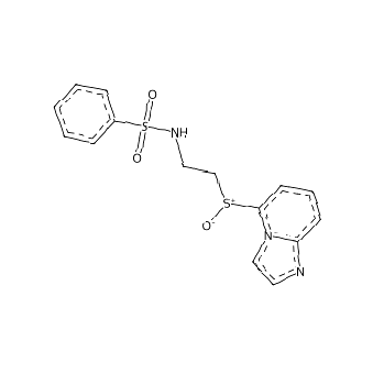 O=S(=O)(NCC[S+]([O-])c1cccc2nccn12)c1ccccc1